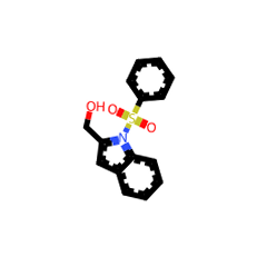 O=S(=O)(c1ccccc1)n1c(CO)cc2ccccc21